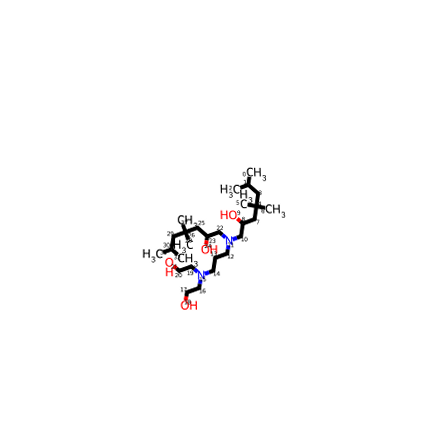 CC(C)CC(C)(C)CC(O)CN(CCCN(CCO)CCO)CC(O)CC(C)(C)CC(C)C